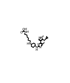 Cn1ncc(-c2nc(NC3CCC(NCCCCCCNC(=O)O)CC3)ncc2F)c1CC1CC1